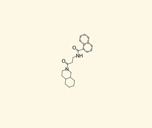 O=C(NCCC(=O)N1CCC2CCCCC2C1)c1cccc2ccccc12